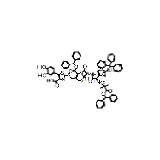 CC(C)(O/N=C(/C(=O)N[C@@H]1C(=O)N2C(C(=O)OC(c3ccccc3)c3ccccc3)=C(CSc3nc(C(=O)O)c(-c4ccc(O)c(O)c4)s3)CS[C@H]12)c1csc(NC(c2ccccc2)(c2ccccc2)c2ccccc2)n1)C(=O)OC(c1ccccc1)c1ccccc1